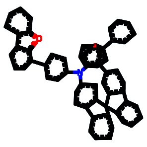 c1ccc(-c2ccc(N(c3ccc(-c4cccc5c4oc4ccccc45)cc3)c3ccc4c(c3)C3(c5ccccc5-c5ccc(-c6ccccc6)cc53)c3ccccc3-4)cc2)cc1